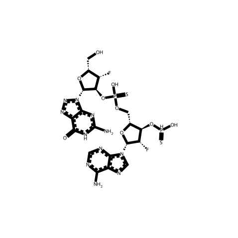 Nc1nc2c(nnn2[C@@H]2O[C@H](CO)[C@H](F)[C@H]2OP(O)(=S)OC[C@H]2O[C@@H](n3cnc4c(N)ncnc43)[C@@H](F)[C@@H]2O[PH](O)=S)c(=O)[nH]1